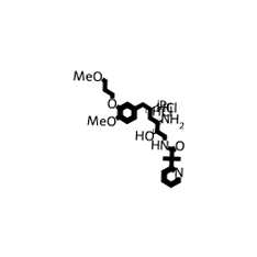 COCCCOc1cc(C[C@@H](C[C@H](N)[C@@H](O)CNC(=O)C(C)(C)c2ccccn2)C(C)C)ccc1OC.Cl.Cl